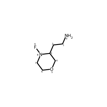 NCCC1COCCN1F